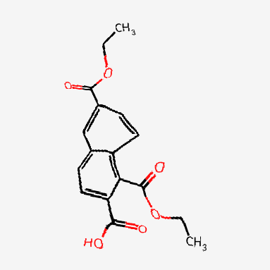 CCOC(=O)c1ccc2c(C(=O)OCC)c(C(=O)O)ccc2c1